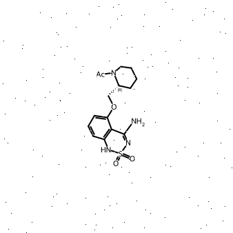 CC(=O)N1CCCC[C@@H]1COc1cccc2c1C(N)=NS(=O)(=O)N2